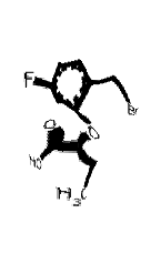 CCC(Oc1cc(F)ccc1CBr)C(=O)O